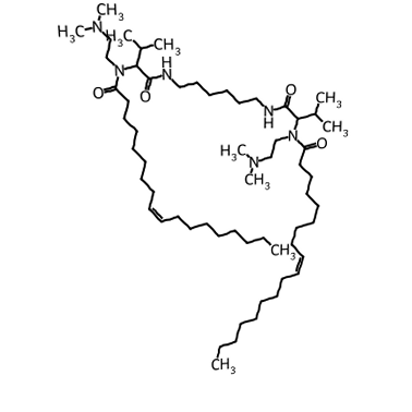 CCCCCCCC/C=C\CCCCCCCC(=O)N(CCN(C)C)C(C(=O)NCCCCCCNC(=O)C(C(C)C)N(CCN(C)C)C(=O)CCCCCCC/C=C\CCCCCCCC)C(C)C